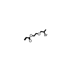 C=CC(=O)OCCOCC(C)Br